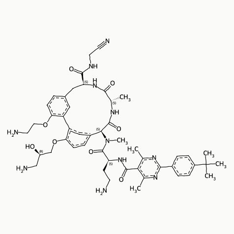 Cc1nc(-c2ccc(C(C)(C)C)cc2)nc(C)c1C(=O)N[C@@H](CCN)C(=O)N(C)[C@@H]1C(=O)N[C@@H](C)C(=O)N[C@H](C(=O)NCC#N)Cc2ccc(OCCN)c(c2)-c2cc1ccc2OC[C@H](O)CN